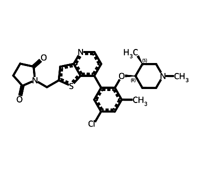 Cc1cc(Cl)cc(-c2ccnc3cc(CN4C(=O)CCC4=O)sc23)c1O[C@@H]1CCN(C)C[C@@H]1C